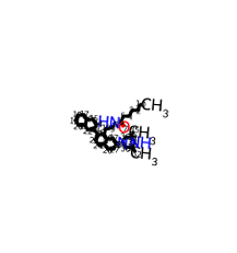 CCCCCCC(=O)NCCc1c(-c2ccc3ccccc3c2)ccc2ccc(N3CC(C)NC(C)C3)cc12